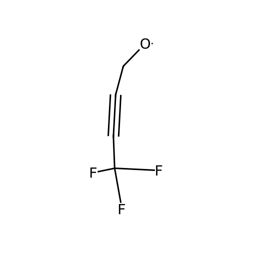 [O]CC#CC(F)(F)F